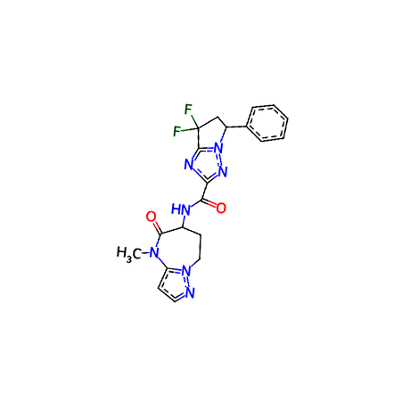 CN1C(=O)C(NC(=O)c2nc3n(n2)C(c2ccccc2)CC3(F)F)CCn2nccc21